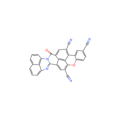 N#Cc1ccc2c(c1)-c1c(C#N)cc3c(=O)n4c5cccc6cccc(nc4c4cc(C#N)c(c1c34)O2)c65